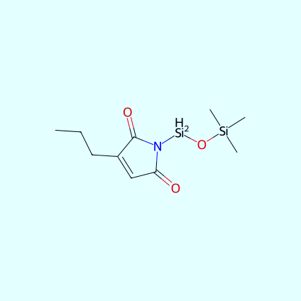 CCCC1=CC(=O)N([SiH2]O[Si](C)(C)C)C1=O